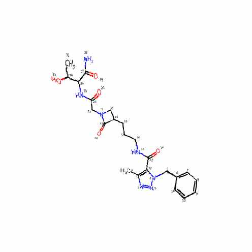 Cc1nnn(Cc2ccccc2)c1C(=O)NCCCC1CN(CC(=O)NC(C(N)=O)C(C)O)C1=O